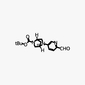 CC(C)(C)OC(=O)N1C[C@@H]2C[C@H]1CN2c1ccc(C=O)nc1